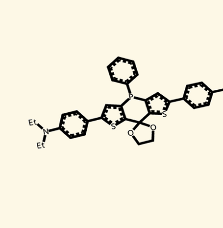 CCN(CC)c1ccc(-c2cc3c(s2)C2(OCCO2)c2sc(-c4ccc(N(CC)CC)cc4)cc2P3c2ccccc2)cc1